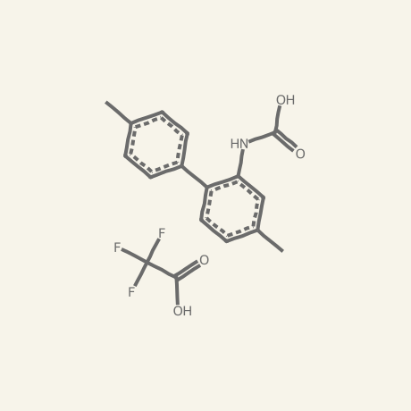 Cc1ccc(-c2ccc(C)cc2NC(=O)O)cc1.O=C(O)C(F)(F)F